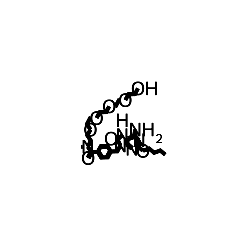 CCCCOc1nc(N)c2[nH]c(=O)n(Cc3ccc(C(=O)N(C)CCOCCOCCOCCOCCO)cc3)c2n1